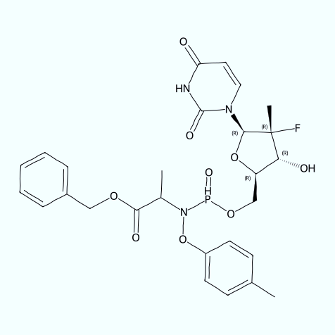 Cc1ccc(ON(C(C)C(=O)OCc2ccccc2)[PH](=O)OC[C@H]2O[C@@H](n3ccc(=O)[nH]c3=O)[C@](C)(F)[C@@H]2O)cc1